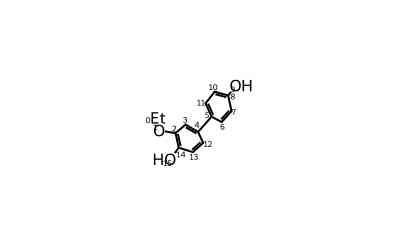 CCOc1cc(-c2ccc(O)cc2)ccc1O